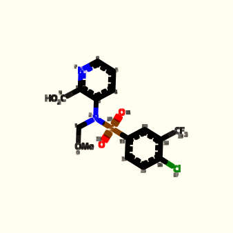 COCN(c1cccnc1C(=O)O)S(=O)(=O)c1ccc(Cl)c(C(F)(F)F)c1